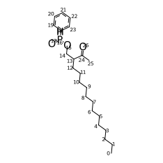 CCCCCCCCCCCCCC(CO[PH](=O)c1ccccc1)C(C)=O